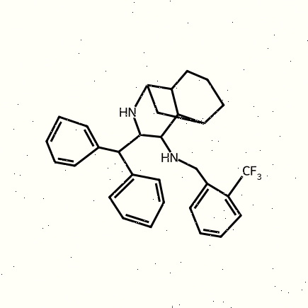 FC(F)(F)c1ccccc1CNC1C(C(c2ccccc2)c2ccccc2)NC2CC3CCCC2C31